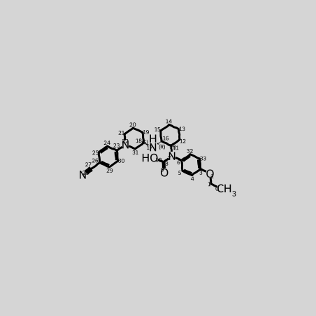 CCOc1ccc(N(C(=O)O)[C@@H]2CCCC[C@H]2N[C@H]2CCCN(c3ccc(C#N)cc3)C2)cc1